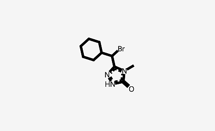 Cn1c(C(Br)C2CCCCC2)n[nH]c1=O